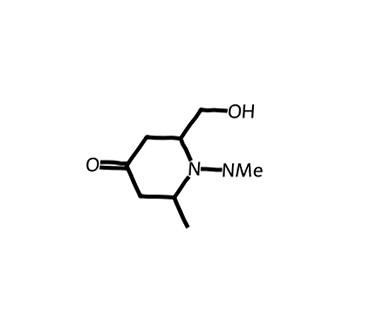 CNN1C(C)CC(=O)CC1CO